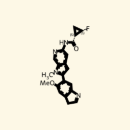 COc1cc2c(cc1-c1cc3cc(NC(=O)[C@@H]4C[C@@H]4F)ncc3n1C)N=CC2